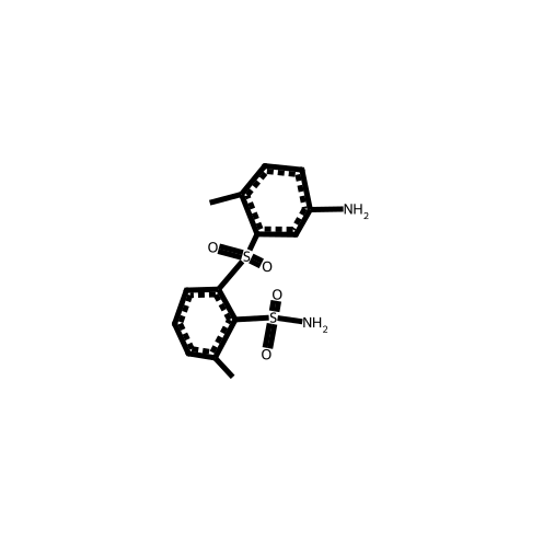 Cc1ccc(N)cc1S(=O)(=O)c1cccc(C)c1S(N)(=O)=O